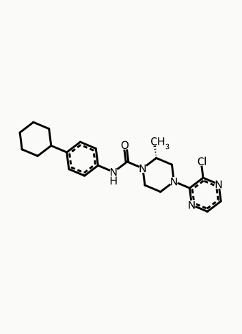 C[C@@H]1CN(c2nccnc2Cl)CCN1C(=O)Nc1ccc(C2CCCCC2)cc1